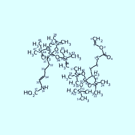 C=COC(=O)SCCC[Si](O[Si](C)(C)C)(O[Si](C)(C)C)O[Si](C)(C)C.C[Si](C)(C)O[Si](CCCC=CNC(=O)O)(O[Si](C)(C)C)O[Si](C)(C)C